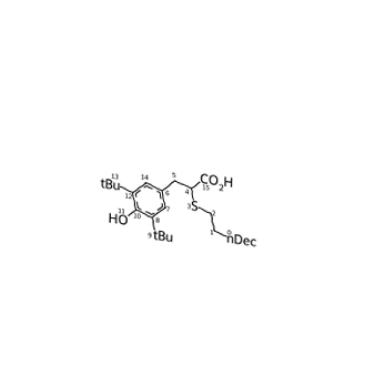 CCCCCCCCCCCCSC(Cc1cc(C(C)(C)C)c(O)c(C(C)(C)C)c1)C(=O)O